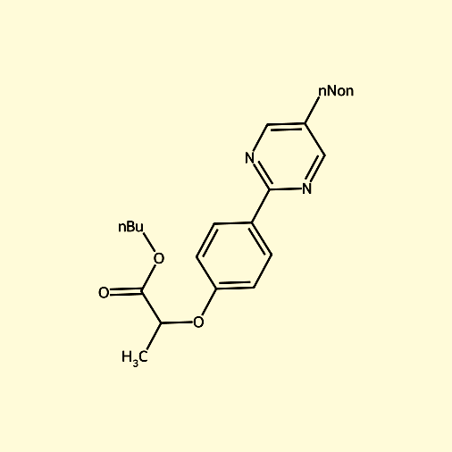 CCCCCCCCCc1cnc(-c2ccc(OC(C)C(=O)OCCCC)cc2)nc1